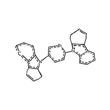 C1=Cc2c(n(-c3ccc(-n4c5c(c6ccccc64)C=CC5)nc3)c3ccccc23)C1